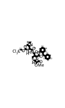 CO[C@H]1C(=O)N2C(C(=O)OC(c3ccccc3)c3ccccc3)=C(C(NC(=O)C(NC(=O)OCC(Cl)(Cl)Cl)c3cscn3)OC(C)=O)CS[C@H]12